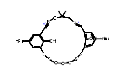 CC1(C)C/N=C/c2cc(C(C)(C)C)cc(c2O)CSCCCSCc2cc(C(C)(C)C)cc(c2O)/C=N/C1